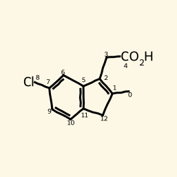 CC1=C(CC(=O)O)c2cc(Cl)ccc2C1